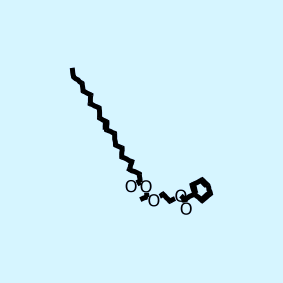 CCCCCCCCC=CCCCCCCCC(=O)OC(C)OCCOC(=O)c1ccccc1